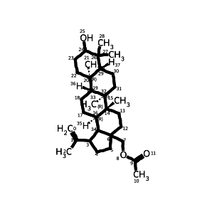 C=C(C)C1CCC2(COC(C)=O)CC[C@]3(C)[C@H](CC[C@@H]4[C@@]5(C)CCC(O)C(C)(C)[C@@H]5CC[C@]43C)C12